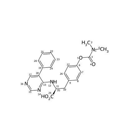 CN(C)C(=O)Oc1ccc(C[C@H](Nc2ncncc2-c2ccccc2)C(=O)O)cc1